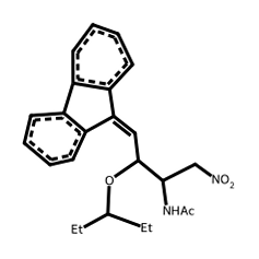 CCC(CC)OC(C=C1c2ccccc2-c2ccccc21)C(C[N+](=O)[O-])NC(C)=O